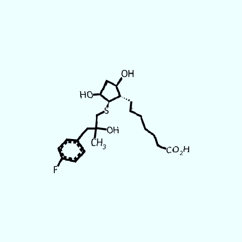 CC(O)(CS[C@H]1C(O)CC(O)[C@@H]1CCCCCCC(=O)O)Cc1ccc(F)cc1